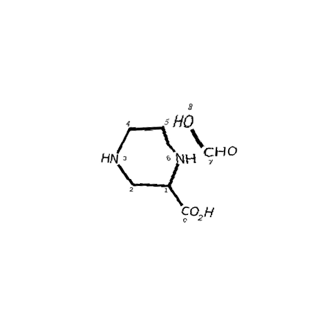 O=C(O)C1CNCCN1.O=CO